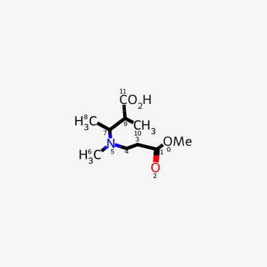 COC(=O)CCN(C)C(C)C(C)C(=O)O